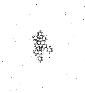 c1ccc(-c2ccc(-c3cccc4c3-c3ccccc3C4(c3ccccc3)c3ccccc3)c(N(c3ccccc3)c3ccc(-c4ccccc4)c4ccccc34)c2)cc1